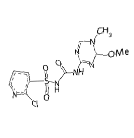 COC1N=C(NC(=O)NS(=O)(=O)c2cccnc2Cl)N=CN1C